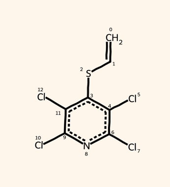 C=CSc1c(Cl)c(Cl)nc(Cl)c1Cl